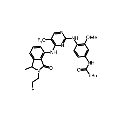 CCCCC(=O)Nc1ccc(Nc2ncc(C(F)(F)F)c(Nc3cccc4c3C(=O)N(CCF)C4C)n2)c(OC)c1